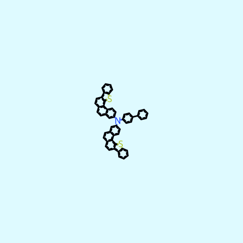 c1ccc(-c2ccc(N(c3ccc4c(ccc5ccc6c7ccccc7sc6c54)c3)c3ccc4c(ccc5ccc6c7ccccc7sc6c54)c3)cc2)cc1